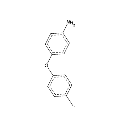 [CH2]c1ccc(Oc2ccc(N)cc2)cc1